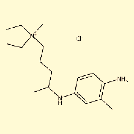 CC[N+](C)(CC)CCCC(C)Nc1ccc(N)c(C)c1.[Cl-]